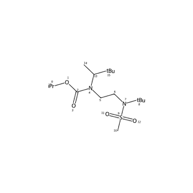 CC(C)OC(=O)N(CCN(C(C)(C)C)S(C)(=O)=O)C(C)C(C)(C)C